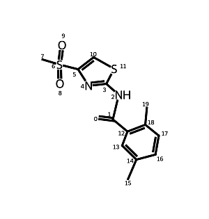 C=C(Nc1nc(S(C)(=O)=O)cs1)c1cc(C)ccc1C